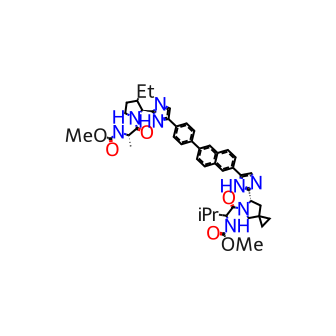 CC[C@@H]1CCN(C(=O)[C@H](C)NC(=O)OC)[C@@H]1c1ncc(-c2ccc(-c3ccc4cc(-c5cnc([C@@H]6CC7(CC7)CN6C(=O)C(NC(=O)OC)C(C)C)[nH]5)ccc4c3)cc2)[nH]1